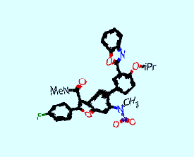 CNC(=O)c1c(-c2ccc(F)cc2)oc2cc(N(C)I(=O)=O)c(-c3ccc(OC(C)C)c(-c4nc5ccccc5o4)c3)cc12